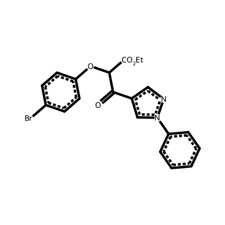 CCOC(=O)C(Oc1ccc(Br)cc1)C(=O)c1cnn(-c2ccccc2)c1